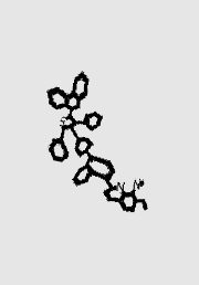 C=Cc1ccc2ccc(-c3ccc(-c4ccc(-c5c(-c6ccccc6)sc(-c6cc7ccccc7c7ccccc67)c5-c5ccccc5)cc4)c4ccccc34)nc2c1N=C